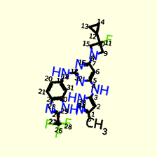 Cc1cc(Nc2cc(N3CC(F)(C4CC4)C3)nc(Nc3ccc4nc(C(F)(F)F)[nH]c4c3)n2)[nH]n1